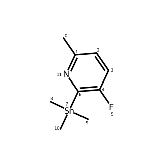 Cc1ccc(F)[c]([Sn]([CH3])([CH3])[CH3])n1